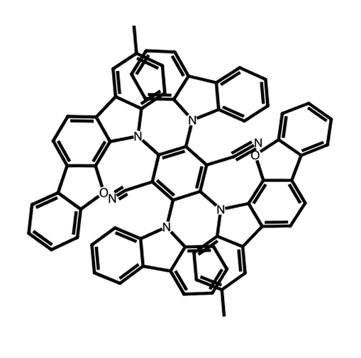 Cc1ccc2c(c1)c1ccc3c4ccccc4oc3c1n2-c1c(C#N)c(-n2c3ccccc3c3ccccc32)c(-n2c3ccc(C)cc3c3ccc4c5ccccc5oc4c32)c(C#N)c1-n1c2ccccc2c2ccccc21